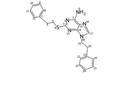 Nc1nc(SCCc2ccccc2)nc2c1ncn2CCc1ccccc1